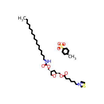 CCCCCCCCCCCCCCCCCNC(=O)OC[C@H]1CO[C@H](COC(=O)CCCCC[n+]2ccsc2)C1.Cc1ccc(S(=O)(=O)[O-])cc1